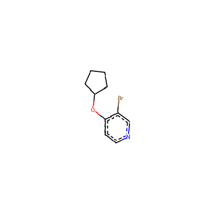 Brc1cnccc1OC1CCCC1